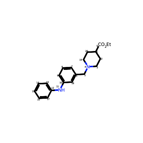 CCOC(=O)C1CCN(Cc2cccc(Nc3ccccc3)c2)CC1